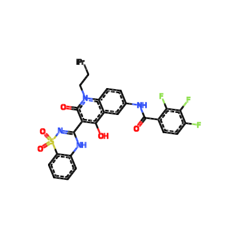 CC(C)CCn1c(=O)c(C2=NS(=O)(=O)c3ccccc3N2)c(O)c2cc(NC(=O)c3ccc(F)c(F)c3F)ccc21